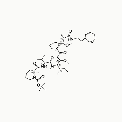 CC[C@H](C)[C@@H]([C@@H](CC(=O)N1CCC[C@H]1[C@H](OC)[C@@H](C)C(=O)NCCC1C=CC=CC=C1)OC)N(C)C(=O)[C@@H](NC(=O)[C@]1(C)CCCCN1C(=O)OC(C)(C)C)C(C)C